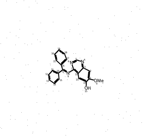 COc1cc2ncnc(N=C(c3ccccc3)c3ccccc3)c2cc1O